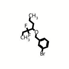 CCCC(OCc1cccc(Br)c1)C(F)(F)CC